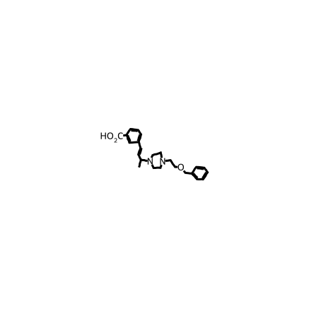 CC(C=Cc1cccc(C(=O)O)c1)N1CCN(CCOCc2ccccc2)CC1